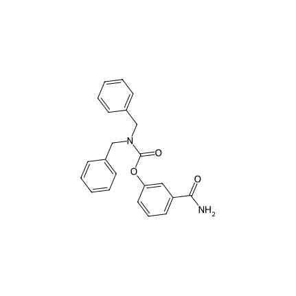 NC(=O)c1cccc(OC(=O)N(Cc2ccccc2)Cc2ccccc2)c1